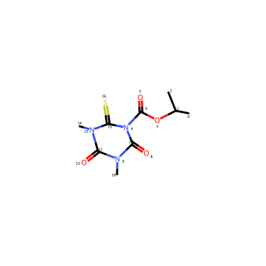 CC(C)OC(=O)n1c(=O)n(C)c(=O)n(C)c1=S